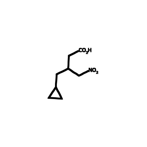 O=C(O)CC(CC1CC1)C[N+](=O)[O-]